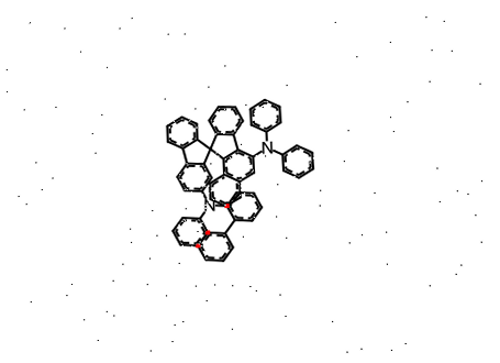 c1ccc(-c2ccccc2N(c2ccccc2)c2ccc3c(c2)C2(c4ccccc4-3)c3ccccc3-c3c(N(c4ccccc4)c4ccccc4)cc4ccccc4c32)cc1